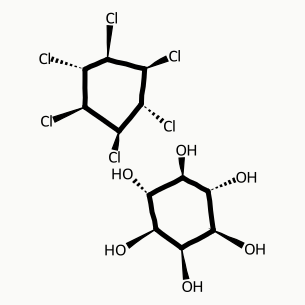 Cl[C@H]1[C@H](Cl)[C@@H](Cl)[C@@H](Cl)[C@H](Cl)[C@H]1Cl.O[C@H]1[C@H](O)[C@@H](O)[C@H](O)[C@@H](O)[C@H]1O